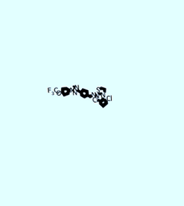 FC(F)(F)Oc1ccc(-n2cnc(-c3ccc(/C=N/N=C4\SCCCN4c4c(Cl)cccc4Cl)cc3)n2)cc1